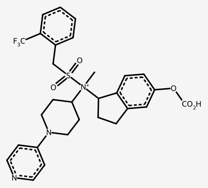 C[N+](C1CCN(c2ccncc2)CC1)(C1CCc2cc(OC(=O)O)ccc21)S(=O)(=O)Cc1ccccc1C(F)(F)F